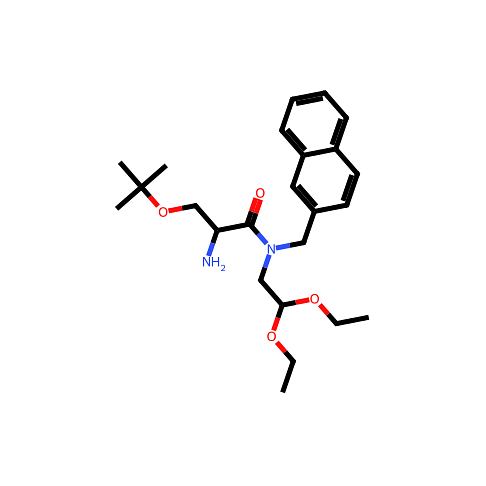 CCOC(CN(Cc1ccc2ccccc2c1)C(=O)C(N)COC(C)(C)C)OCC